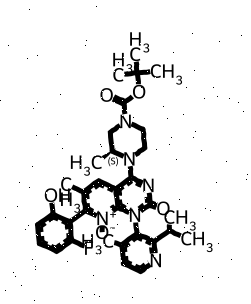 Cc1ccnc(C(C)C)c1-n1c(=O)nc(N2CCN(C(=O)OC(C)(C)C)C[C@@H]2C)c2cc(C)c(-c3c(O)cccc3F)[n+]([O-])c21